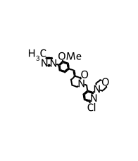 COc1cc(C=C2CCCN(Cc3ccc(Cl)nc3N3CCOCC3)C2=O)ccc1-n1cnc(C)c1